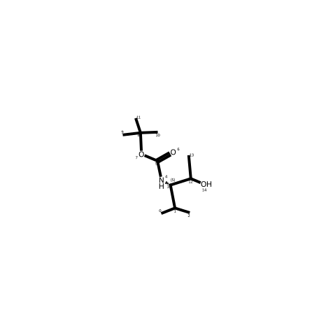 CC(C)[C@H](NC(=O)OC(C)(C)C)C(C)O